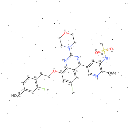 COc1ncc(-c2nc(N3CCOCC3)nc3c(OCCc4ccc(C(=O)O)cc4F)cc(F)cc23)cc1NS(C)(=O)=O